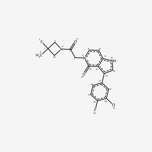 CC1(F)CN(C(=O)Cn2ccc3[nH]cc(-c4ccc(F)c(Cl)c4)c3c2=O)C1